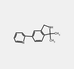 CC1(C)NCc2cc(-c3ccccn3)ccc21